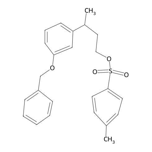 Cc1ccc(S(=O)(=O)OCCC(C)c2cccc(OCc3ccccc3)c2)cc1